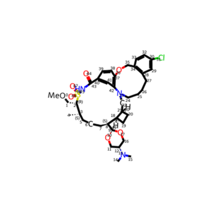 COC[C@H]1[C@@H](C)CCC[C@H]([C@H]2OC[C@@H](N(C)C)CO2)[C@@H]2CC[C@H]2CN2CCCCc3cc(Cl)ccc3COc3ccc(cc32)C(=O)NS1(=O)=O